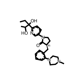 CCC(O)(c1ccc(N2CC[C@@H](Cc3ccccc3N3CCN(C)CC3)C2=O)cn1)C(C)O